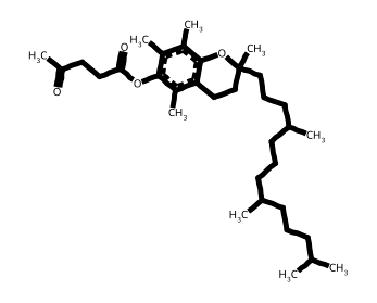 CC(=O)CCC(=O)Oc1c(C)c(C)c2c(c1C)CCC(C)(CCCC(C)CCCC(C)CCCC(C)C)O2